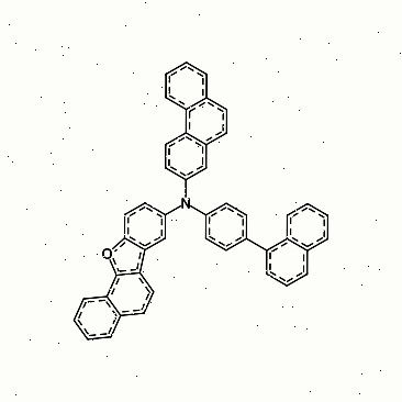 c1ccc2c(-c3ccc(N(c4ccc5c(ccc6ccccc65)c4)c4ccc5oc6c7ccccc7ccc6c5c4)cc3)cccc2c1